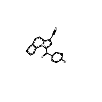 N#Cc1cc(C(=O)c2ccc(Br)cc2)n2c1ccc1ccccc12